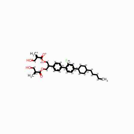 C=C(CO)C(=O)OCC(COC(=O)C(=C)CO)c1ccc(-c2ccc(C3CCC(CCCCC)CC3)cc2F)cc1